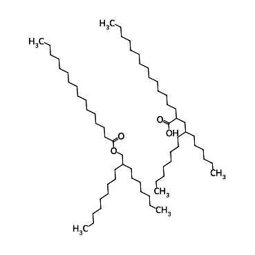 CCCCCCCCCCCCCCC(CC(CCCCCC)CCCCCCCC)C(=O)O.CCCCCCCCCCCCCCCC(=O)OCC(CCCCCCC)CCCCCCCCC